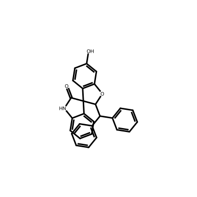 O=C1Nc2ccccc2C12c1ccc(O)cc1OC2C(c1ccccc1)c1ccccc1